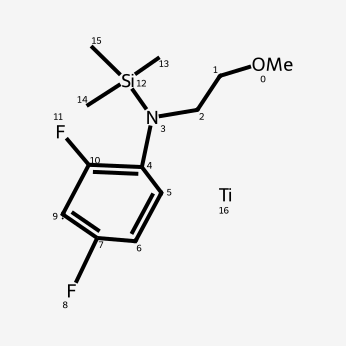 COCCN(c1ccc(F)[c]c1F)[Si](C)(C)C.[Ti]